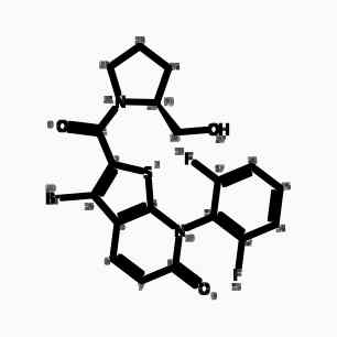 O=C(c1sc2c(ccc(=O)n2-c2c(F)cccc2F)c1Br)N1CCC[C@H]1CO